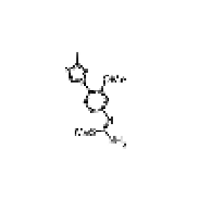 COc1cc(/N=C(/N)SC)ccc1-n1cnc(C)c1